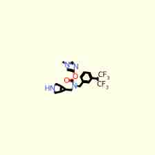 Cn1cnc(OC(=O)N(Cc2cccc(C(C(F)(F)F)C(F)(F)F)c2)CC2C3CNCC32)c1